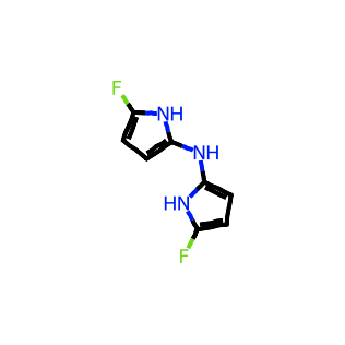 Fc1ccc(Nc2ccc(F)[nH]2)[nH]1